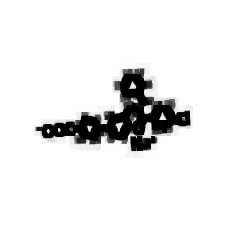 O=C([O-])c1ccc(-c2cccc(CN(Cc3ccccc3)C(=O)c3ccc(Cl)cc3)c2)cc1.[Na+]